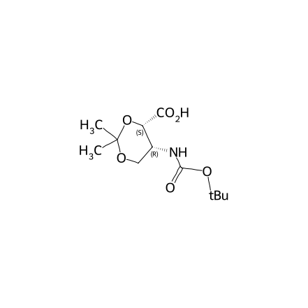 CC(C)(C)OC(=O)N[C@@H]1COC(C)(C)O[C@@H]1C(=O)O